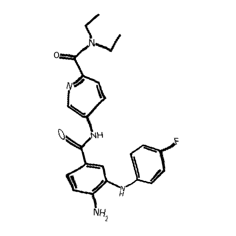 CCN(CC)C(=O)c1ccc(NC(=O)c2ccc(N)c(Nc3ccc(F)cc3)c2)cn1